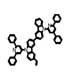 C=Cc1ccc2c(c1)c1cc(-c3ccc4c(c3)c3ccccc3n4-c3cc(-c4ccccc4)cc(-c4ccccc4)n3)ccc1n2-c1cc(-c2ccccc2)nc(-c2ccccc2)c1